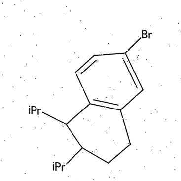 CC(C)C1CCc2cc(Br)ccc2C1C(C)C